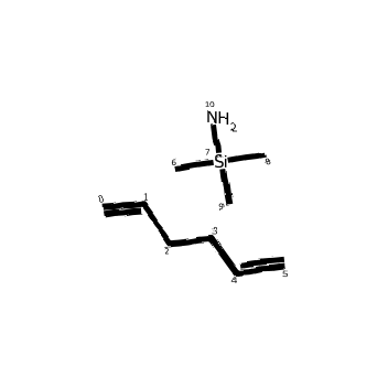 C=CCCC=C.C[Si](C)(C)N